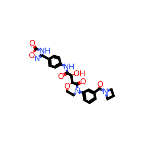 O=C(Nc1ccc(-c2noc(=O)[nH]2)cc1)[C@H](O)[C@H]1OCCN(c2cccc(C(=O)N3CCC3)c2)C1=O